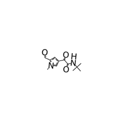 Cn1cc(C(=O)C(=O)NC(C)(C)C)cc1C=O